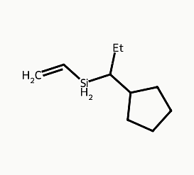 C=C[SiH2]C(CC)C1CCCC1